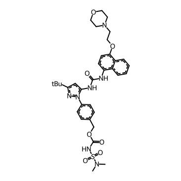 CN(C)S(=O)(=O)NC(=O)OCc1ccc(-n2nc(C(C)(C)C)cc2NC(=O)Nc2ccc(OCCN3CCOCC3)c3ccccc23)cc1